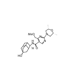 COCc1nc(N2C[C@@H](C)O[C@@H](C)C2)ncc1C(=O)N[C@H]1C2CC3CC1C[C@@](O)(C3)C2